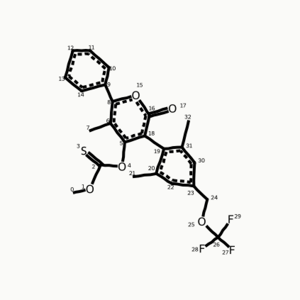 COC(=S)Oc1c(C)c(-c2ccccc2)oc(=O)c1-c1c(C)cc(COC(F)(F)F)cc1C